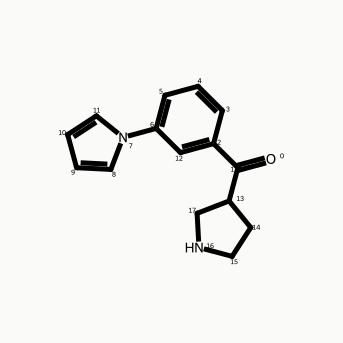 O=C(c1cccc(-n2cccc2)c1)C1CCNC1